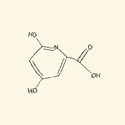 O=C(O)c1cc(O)cc(O)n1